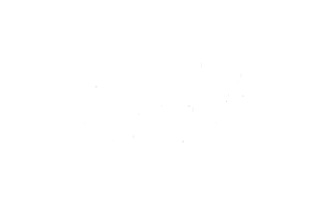 CC(C)(C)OC(=O)CC1=CCC=C(B2OC(C)(C)C(C)(C)O2)CC1